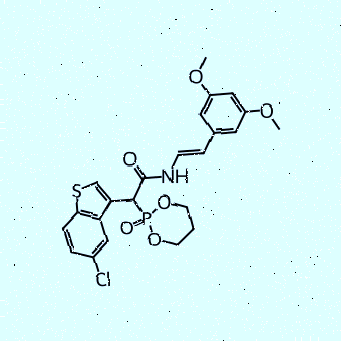 COc1cc(/C=C/NC(=O)C(c2csc3ccc(Cl)cc23)P2(=O)OCCCO2)cc(OC)c1